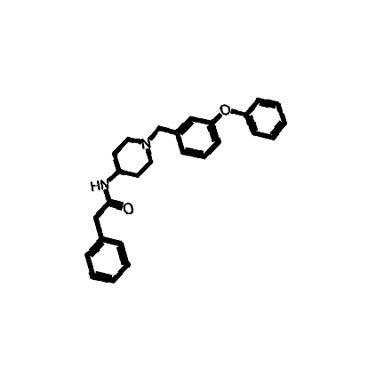 O=C(Cc1ccccc1)NC1CCN(Cc2cccc(Oc3ccccc3)c2)CC1